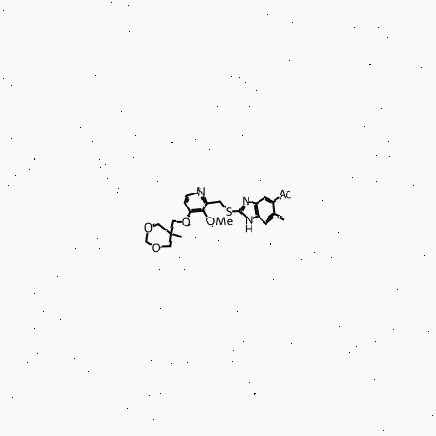 COc1c(OCC2(C)COCOC2)ccnc1CSc1nc2cc(C(C)=O)c(C)cc2[nH]1